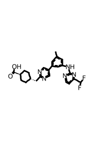 Cc1cc(Nc2nccc(C(F)F)n2)cc(-c2cnc(C[C@H]3CC[C@H](C(=O)O)CC3)nc2)c1